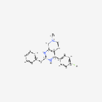 CC(C)N1CCc2c(nc(Cc3ccccc3)nc2-c2ccc(F)cc2)C1